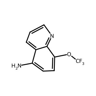 Nc1ccc(OC(F)(F)F)c2ncccc12